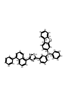 c1ccc(-c2cccc3c(-c4nsc(-c5cccc(N(c6ccccc6)c6ccc7c(c6)oc6ccccc67)c5)n4)cccc23)cc1